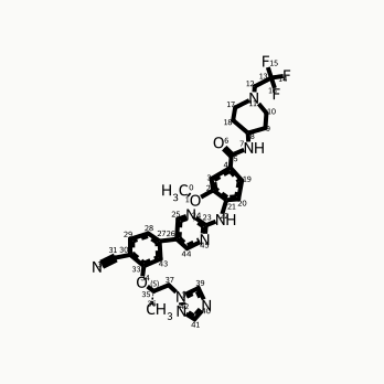 COc1cc(C(=O)NC2CCN(CC(F)(F)F)CC2)ccc1Nc1ncc(-c2ccc(C#N)c(O[C@@H](C)Cn3cncn3)c2)cn1